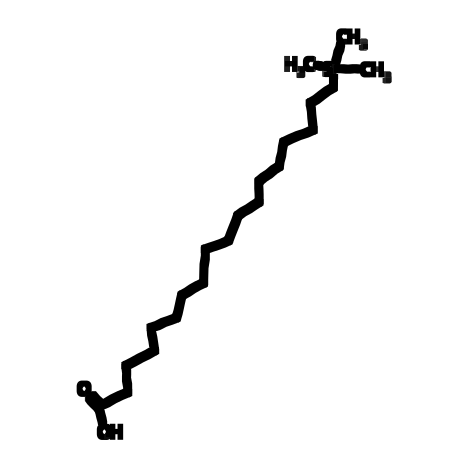 C[Si](C)(C)CCCCCCCCCCCCCCCCCC(=O)O